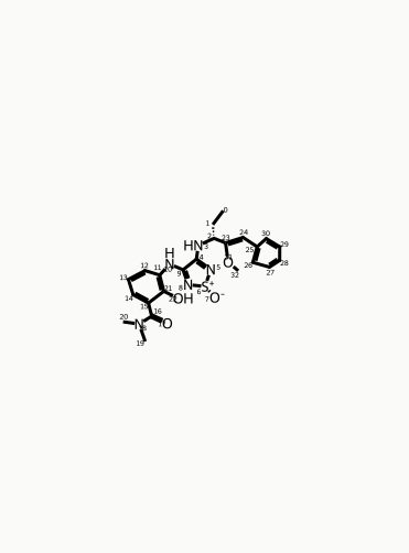 CC[C@@H](Nc1n[s+]([O-])nc1Nc1cccc(C(=O)N(C)C)c1O)/C(=C/c1ccccc1)OC